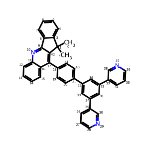 CC1(C)c2ccccc2-c2nc3ccccc3c(-c3ccc(-c4cc(-c5cccnc5)cc(-c5cccnc5)c4)cc3)c21